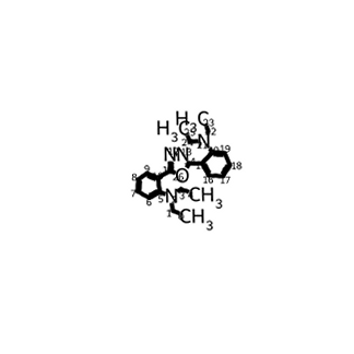 CCN(CC)c1ccccc1-c1nnc(-c2ccccc2N(CC)CC)o1